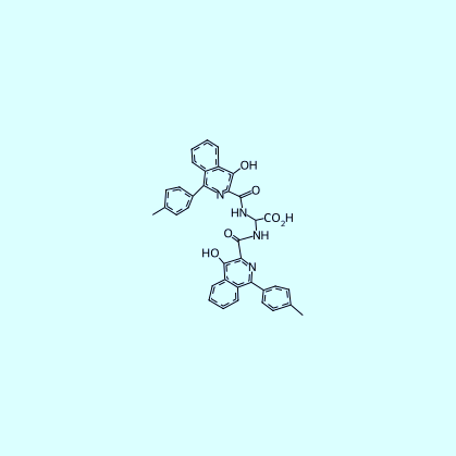 Cc1ccc(-c2nc(C(=O)NC(NC(=O)c3nc(-c4ccc(C)cc4)c4ccccc4c3O)C(=O)O)c(O)c3ccccc23)cc1